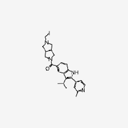 Cc1cc(-c2[nH]c3ccc(C(=O)N4CC5CN(CI)CC5C4)cc3c2C(C)C)ccn1